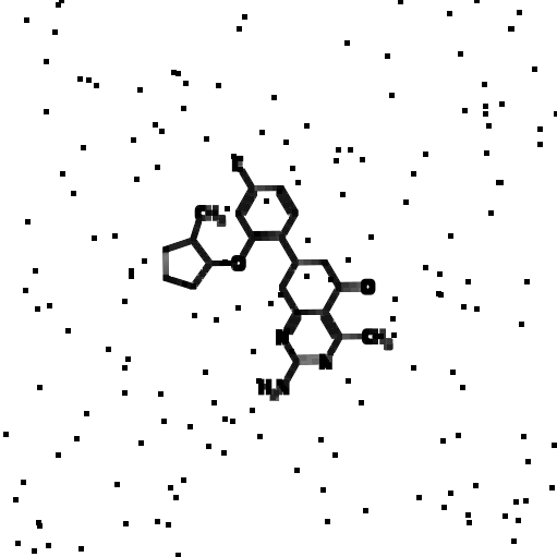 Cc1nc(N)nc2c1C(=O)CC(c1ccc(F)cc1OC1CCCC1C)C2